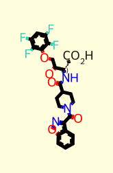 O=C(O)C[C@H](NC(=O)C1CCN(C(=O)c2noc3ccccc23)CC1)C(=O)COc1c(F)c(F)cc(F)c1F